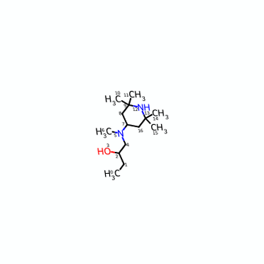 CCC(O)CN(C)C1CC(C)(C)NC(C)(C)C1